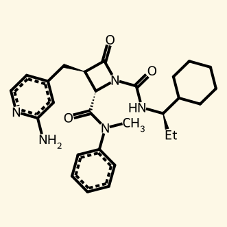 CC[C@@H](NC(=O)N1C(=O)[C@H](Cc2ccnc(N)c2)[C@H]1C(=O)N(C)c1ccccc1)C1CCCCC1